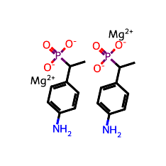 CC(c1ccc(N)cc1)P(=O)([O-])[O-].CC(c1ccc(N)cc1)P(=O)([O-])[O-].[Mg+2].[Mg+2]